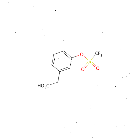 O=C(O)Cc1cccc(OS(=O)(=O)C(F)(F)F)c1